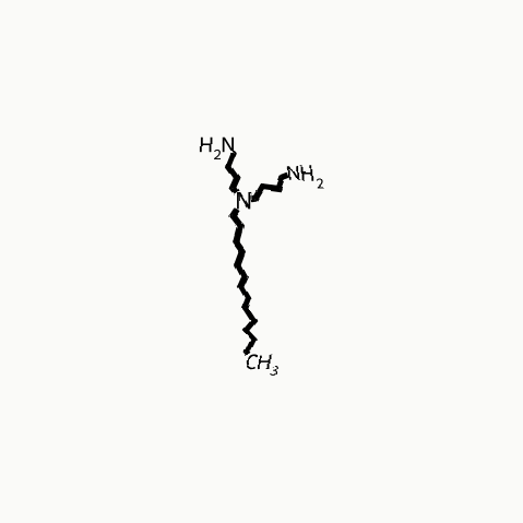 CCCCCCCCCCCCCCN(CCCCN)CCCCN